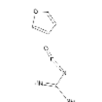 N=C(N)N=C=O.c1ccoc1